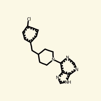 Clc1ccc(CC2CCN(c3ncnc4[nH]cnc34)CC2)cc1